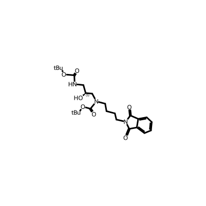 CC(C)(C)OC(=O)NC[C@H](O)CN(CCCCN1C(=O)c2ccccc2C1=O)C(=O)OC(C)(C)C